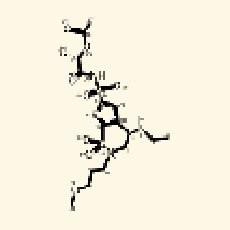 CCN[C@H]1CN(CCCOC)S(=O)(=O)c2sc(S(=O)(=O)NC(=O)[C@H](C)OC(C)=O)cc21